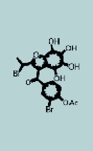 CC(=O)Oc1ccc(C(=O)c2c(C(C)Br)oc3c(O)c(O)c(O)c(O)c23)cc1Br